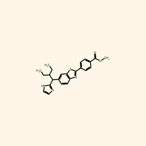 CCC(CC)C(c1ccc2nc(-c3ccc(C(=O)OC)cc3)sc2c1)c1ncc[nH]1